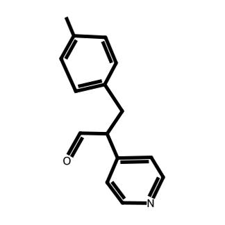 Cc1ccc(CC(C=O)c2ccncc2)cc1